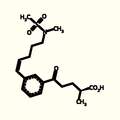 C[C@@H](CCC(=O)c1cccc(/C=C\CCCN(C)S(C)(=O)=O)c1)C(=O)O